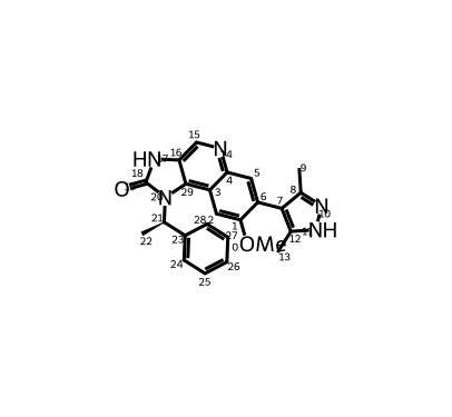 COc1cc2c(cc1-c1c(C)n[nH]c1C)ncc1[nH]c(=O)n([C@H](C)c3ccccc3)c12